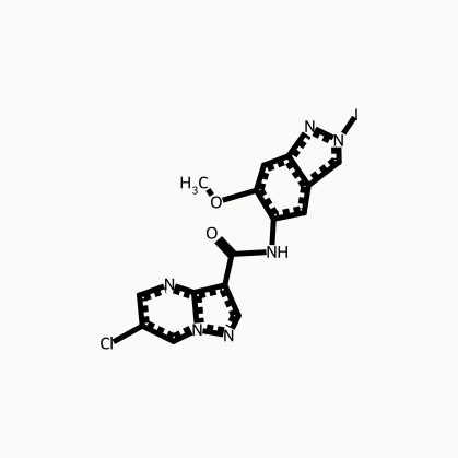 COc1cc2nn(I)cc2cc1NC(=O)c1cnn2cc(Cl)cnc12